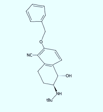 CC(C)(C)N[C@H]1CCc2c(ccc(OCc3ccccc3)c2C#N)[C@@H]1O